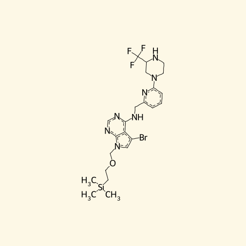 C[Si](C)(C)CCOCn1cc(Br)c2c(NCc3cccc(N4CCNC(C(F)(F)F)C4)n3)ncnc21